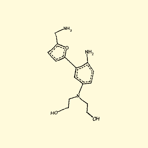 NCc1ccc(-c2cc(N(CCO)CCO)ccc2N)o1